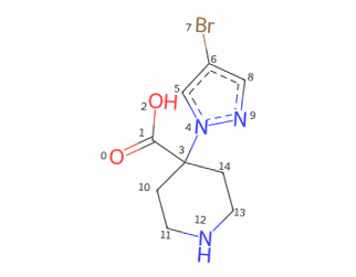 O=C(O)C1(n2cc(Br)cn2)CCNCC1